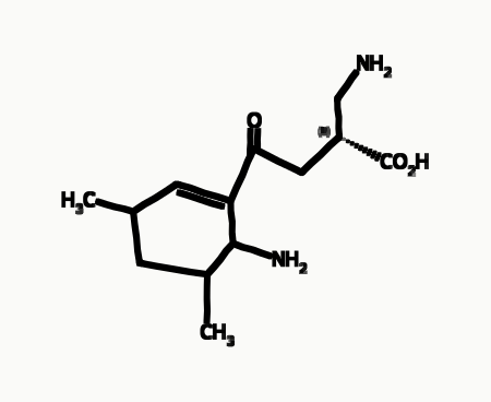 CC1C=C(C(=O)C[C@H](CN)C(=O)O)C(N)C(C)C1